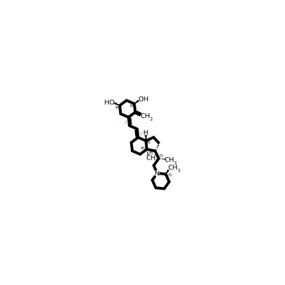 C=C1/C(=C\C=C2/CCC[C@]3(C)[C@@H]([C@H](C)CN4CCCC[C@@H]4C)CC[C@@H]23)C[C@@H](O)C[C@H]1O